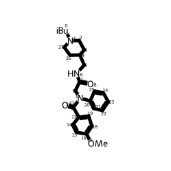 CCC(C)N1CCC(CNC(=O)CN(C(=O)c2ccc(OC)cc2)c2ccccc2)CC1